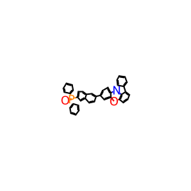 O=P(c1ccccc1)(c1ccccc1)c1ccc2cc(-c3ccc4c(c3)Oc3cccc5c6ccccc6n-4c35)ccc2c1